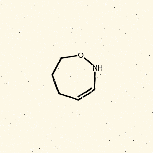 [CH]1CCC=CNO1